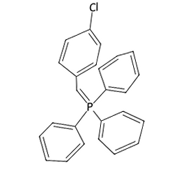 Clc1ccc(C=P(c2ccccc2)(c2ccccc2)c2ccccc2)cc1